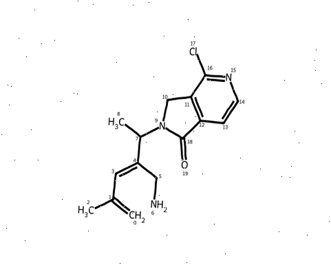 C=C(C)/C=C(\CN)C(C)N1Cc2c(ccnc2Cl)C1=O